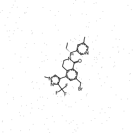 CC[C@H](c1cncc(C)c1)N1CCc2c(cc(CBr)cc2-c2cn(C)nc2C(F)(F)F)C1=O